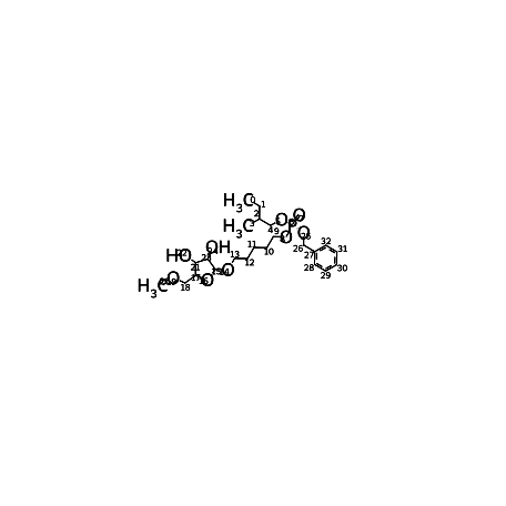 CCC(C)COP(=O)(OCCCCCOC1OC(COC)C(O)C1O)OCc1ccccc1